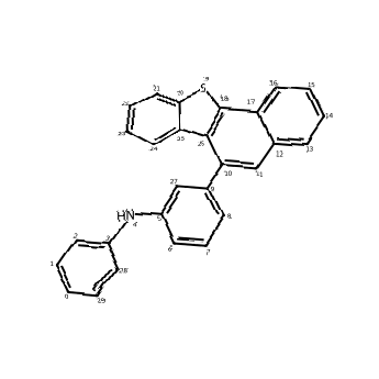 c1ccc(Nc2cccc(-c3cc4ccccc4c4sc5ccccc5c34)c2)cc1